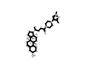 Cc1nn(C)cc1N1CCN(C(=O)CCC(C)[C@H]2CC[C@H]3[C@@H]4CC=C5C[C@@H](O)CC[C@]5(C)[C@H]4CC[C@]23C)CC1